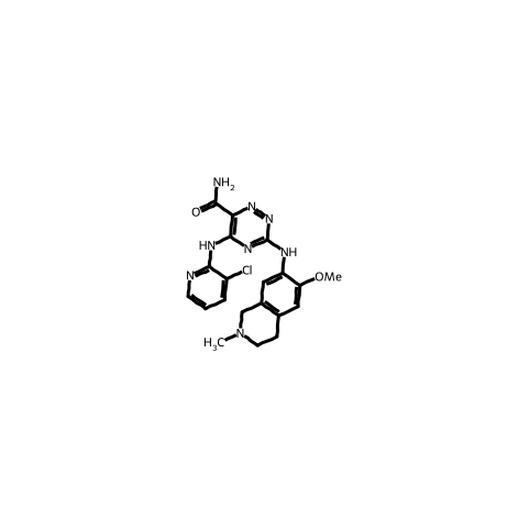 COc1cc2c(cc1Nc1nnc(C(N)=O)c(Nc3ncccc3Cl)n1)CN(C)CC2